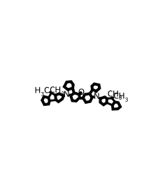 CC1(C)c2ccccc2-c2ccc(-n3c4ccccc4c4c5oc6c(ccc7c6c6ccccc6n7-c6ccc7c(c6)C(C)(C)c6ccccc6-7)c5ccc43)cc21